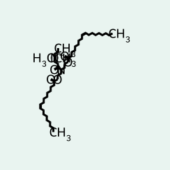 CCCCCCCC/C=C\CCCCCCCC(=O)OCCN(CCOC(=O)CCCCCCC/C=C\CCCCCCCC)C(=O)CC[N+](C)(C)CCC